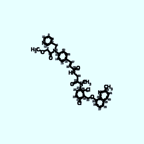 COCC(=O)N(Cc1cccnc1)c1ccc(C=CC(=O)NCC(=O)N(C)c2ccc(Cl)c(COc3cccc4ccc(C)nc34)c2Cl)cc1